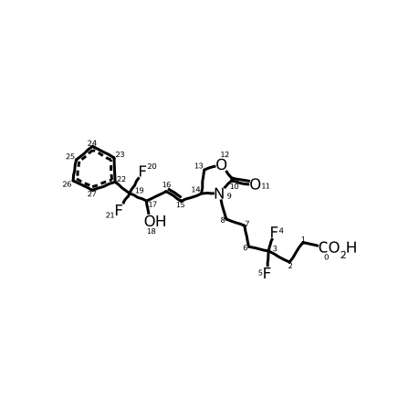 O=C(O)CCC(F)(F)CCCN1C(=O)OCC1C=CC(O)C(F)(F)c1ccccc1